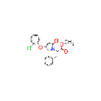 COC(=O)[C@H](Cc1ccccc1)N1CC(Oc2ccccc2Cl)=CC1=O